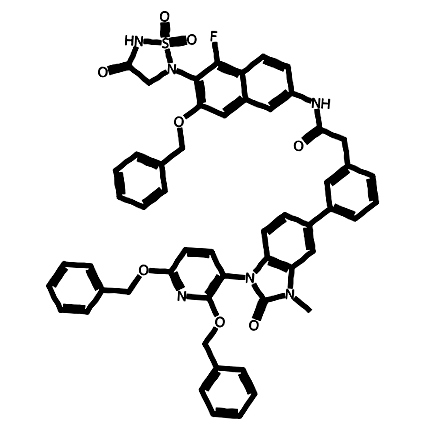 Cn1c(=O)n(-c2ccc(OCc3ccccc3)nc2OCc2ccccc2)c2ccc(-c3cccc(CC(=O)Nc4ccc5c(F)c(N6CC(=O)NS6(=O)=O)c(OCc6ccccc6)cc5c4)c3)cc21